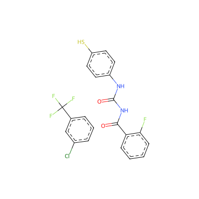 FC(F)(F)c1cccc(Cl)c1.O=C(NC(=O)c1ccccc1F)Nc1ccc(S)cc1